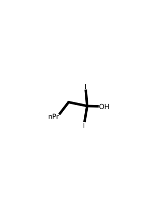 CCCCC(O)(I)I